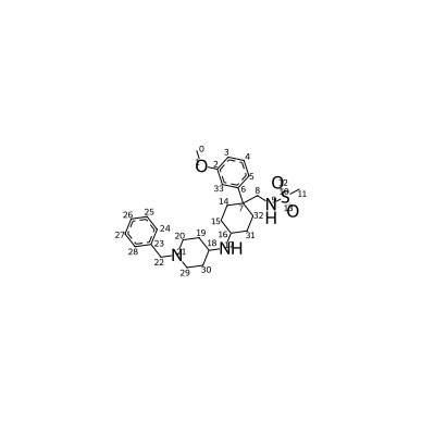 COc1cccc(C2(CNS(C)(=O)=O)CCC(NC3CCN(Cc4ccccc4)CC3)CC2)c1